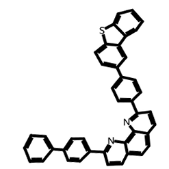 c1ccc(-c2ccc(-c3ccc4ccc5ccc(-c6ccc(-c7ccc8sc9ccccc9c8c7)cc6)nc5c4n3)cc2)cc1